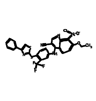 CCOc1ccc2c(Nc3ccc(Sc4nc(-c5ccccc5)cs4)c(C(F)(F)F)c3)c(C#N)cnc2c1[N+](=O)[O-]